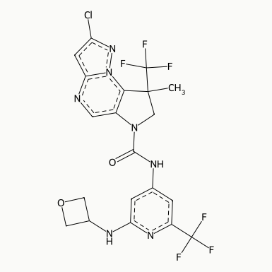 CC1(C(F)(F)F)CN(C(=O)Nc2cc(NC3COC3)nc(C(F)(F)F)c2)c2cnc3cc(Cl)nn3c21